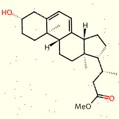 COC(=O)C[C@@H](C)[C@H]1CC[C@H]2C3=CC=C4C[C@@H](O)CC[C@]4(C)[C@H]3CC[C@]12C